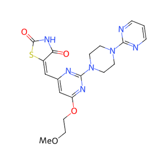 COCCOc1cc(C=C2SC(=O)NC2=O)nc(N2CCN(c3ncccn3)CC2)n1